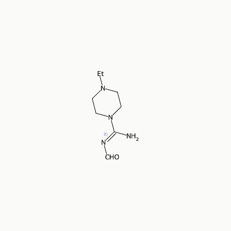 CCN1CCN(/C(N)=N/C=O)CC1